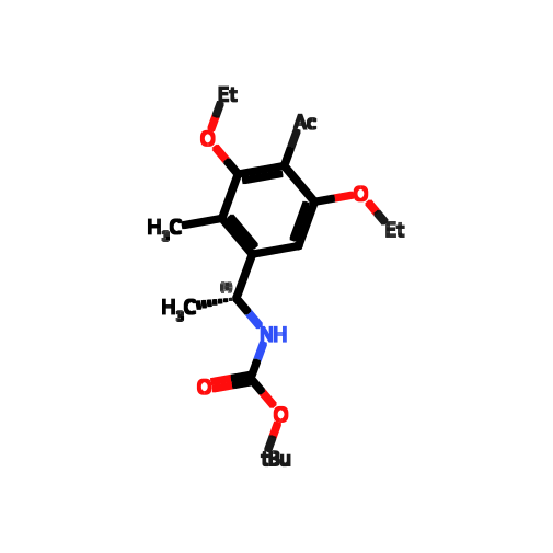 CCOc1cc([C@@H](C)NC(=O)OC(C)(C)C)c(C)c(OCC)c1C(C)=O